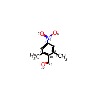 Cc1cc([N+](=O)[O-])cc(C)c1C=O